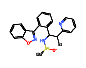 CCC(c1ccccn1)C(N[S@@+]([O-])C(C)(C)C)c1ccccc1-c1noc2ccccc12